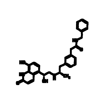 C[C@H](Cc1cccc(CC(=O)NCc2ccccc2)c1)NC[C@H](O)c1ccc(O)c2[nH]c(=O)ccc12